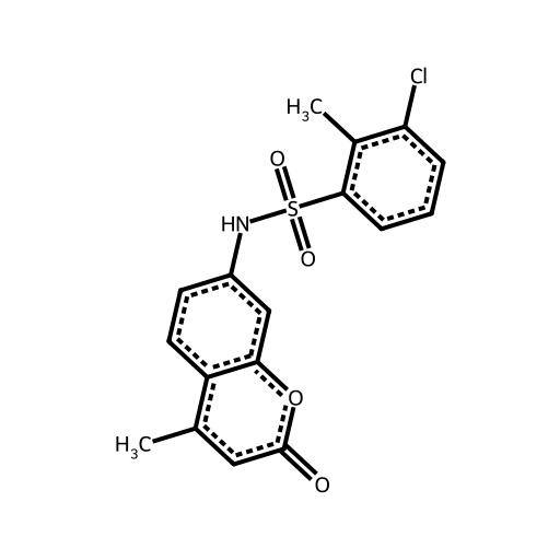 Cc1c(Cl)cccc1S(=O)(=O)Nc1ccc2c(C)cc(=O)oc2c1